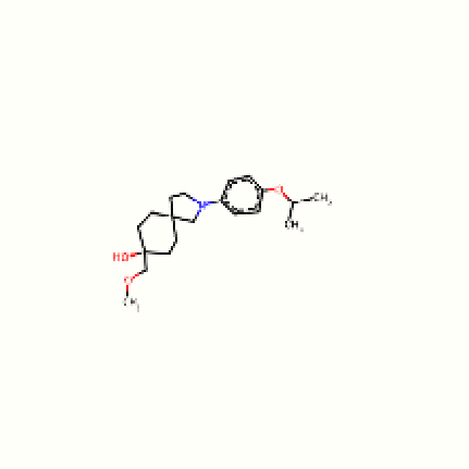 COC[C@]1(O)CC[C@]2(CCN(c3ccc(OC(C)C)cc3)C2)CC1